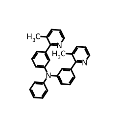 Cc1cccnc1-c1cccc(N(c2ccccc2)c2cccc(-c3ncccc3C)c2)c1